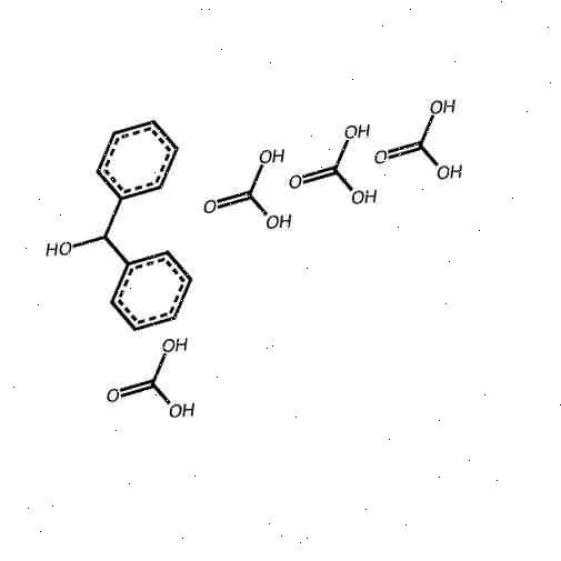 O=C(O)O.O=C(O)O.O=C(O)O.O=C(O)O.OC(c1ccccc1)c1ccccc1